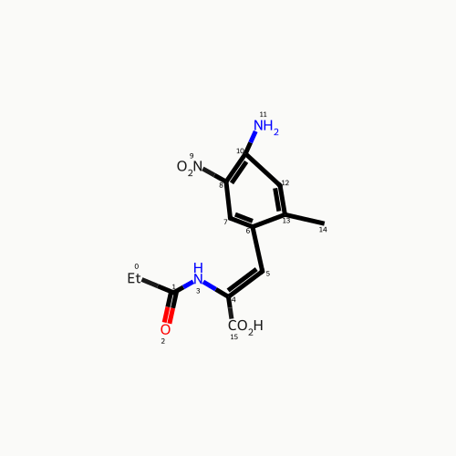 CCC(=O)NC(=Cc1cc([N+](=O)[O-])c(N)cc1C)C(=O)O